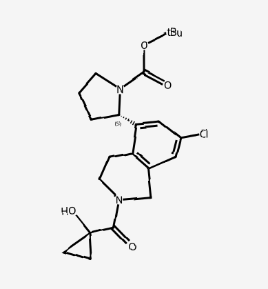 CC(C)(C)OC(=O)N1CCC[C@H]1c1cc(Cl)cc2c1CCN(C(=O)C1(O)CC1)C2